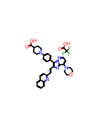 O=C(O)C(F)(F)F.O=C(O)C1CCN(c2ccc(-c3c(/C=C/c4ccc5ccccc5n4)nc4c(N5CCOCC5)ccnn34)cc2)CC1